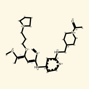 C=N/C(=C\C(OCCCN1CCCC1)=C(/C)OC)Nc1ccnc(NCC2CCN(C(C)=O)CC2)c1